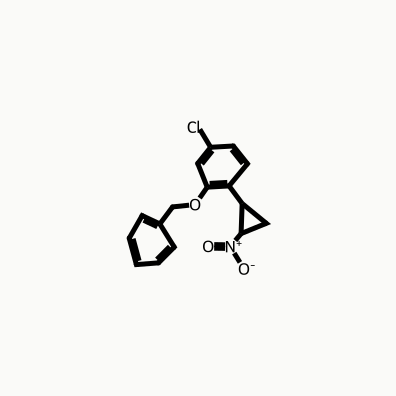 O=[N+]([O-])C1CC1c1ccc(Cl)cc1OCc1ccccc1